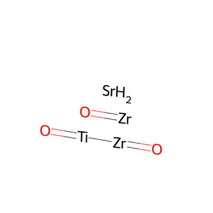 [O]=[Ti][Zr]=[O].[O]=[Zr].[SrH2]